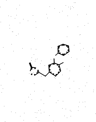 O=c1[nH]nc(Cc2ccc(Cl)c(Oc3ccccc3)c2)o1